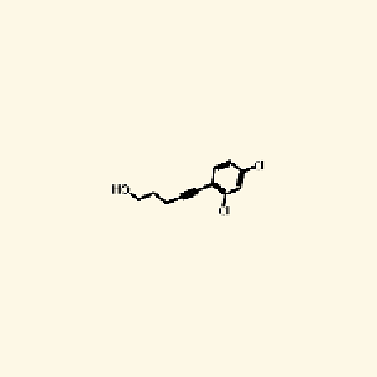 OCCCC#Cc1ccc(Cl)cc1Cl